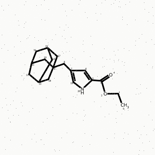 CCOC(=O)c1cc(CC23CC4CC(CC(C4)C2)C3)c[nH]1